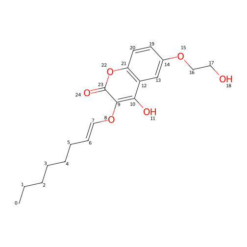 CCCCCC/C=C/Oc1c(O)c2cc(OCCO)ccc2oc1=O